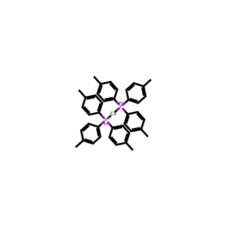 Cc1ccc([PH]([Co][PH](c2ccc(C)cc2)(c2ccc(C)cc2)c2ccc(C)cc2)(c2ccc(C)cc2)c2ccc(C)cc2)cc1